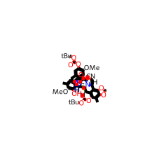 COc1cc2c(cc1OC(=O)OC(C)(C)C)CCN[C@]21CS[C@@H]2c3c(OC(=O)OC(C)(C)C)c(C)c4c(c3[C@H](COC1=O)N1C2[C@H]2c3c(cc(C)c(OC)c3O)CC([C@@H]1C#N)N2C)OCO4